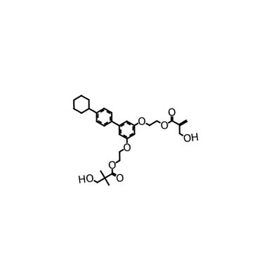 C=C(CO)C(=O)OCCOc1cc(OCCOC(=O)C(C)(C)CO)cc(-c2ccc(C3CCCCC3)cc2)c1